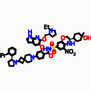 CCN1CCC[C@H]1COc1nc2[nH]ccc2cc1Oc1cc(N2CCC3(CC2)CC(N2CCC[C@@H]2c2ccccc2C(C)C)C3)ccc1C(=O)NS(=O)(=O)c1cc2c(c([N+](=O)[O-])c1)N[C@@H](C1CCC(C)(O)CC1)CO2